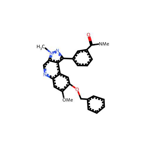 CNC(=O)c1cccc(-c2nn(C)c3cnc4cc(OC)c(OCc5ccccc5)cc4c23)c1